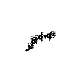 C/C=C/C1COC(c2cc(F)c(C(F)(F)Oc3cc(F)c(OCc4cc(F)c(OC(F)(F)F)c(F)c4)c(F)c3)c(F)c2)OC1